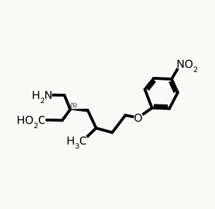 CC(CCOc1ccc([N+](=O)[O-])cc1)C[C@H](CN)CC(=O)O